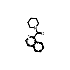 O=C(c1nccc2ccccc12)N1CCCCC1